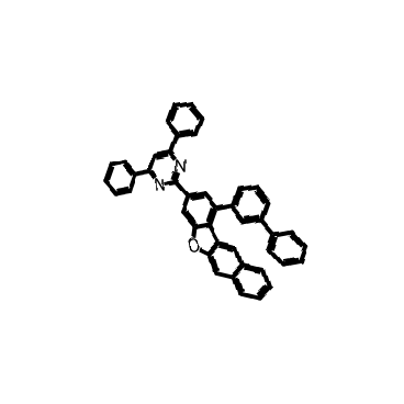 c1ccc(-c2cccc(-c3cc(-c4nc(-c5ccccc5)cc(-c5ccccc5)n4)cc4oc5cc6ccccc6cc5c34)c2)cc1